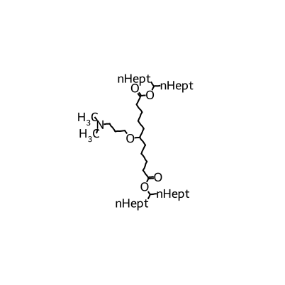 CCCCCCCC(CCCCCCC)OC(=O)CCCCC(CCCCC(=O)OC(CCCCCCC)CCCCCCC)OCCCN(C)C